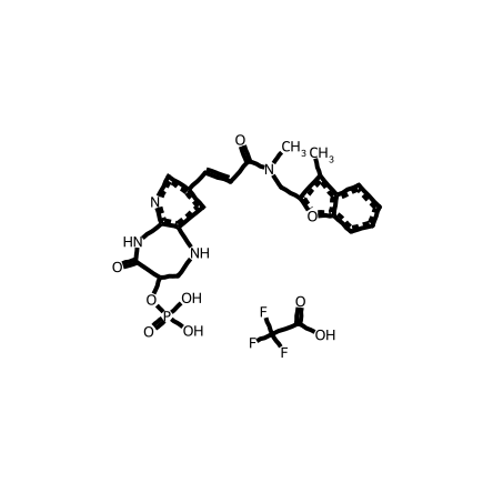 Cc1c(CN(C)C(=O)C=Cc2cnc3c(c2)NCC(OP(=O)(O)O)C(=O)N3)oc2ccccc12.O=C(O)C(F)(F)F